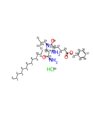 CCCCCCCCCCCCC[C@@H](CC(N)=O)N(CC(C)C)C(=O)[C@@H](N)CCCC(=O)OCc1ccccc1.Cl